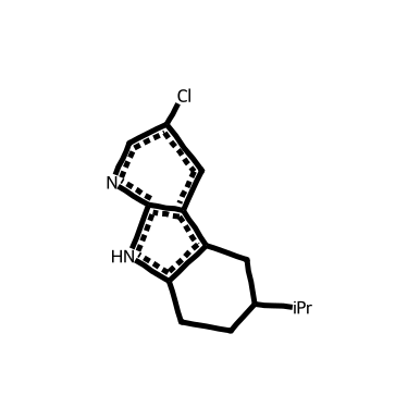 CC(C)C1CCc2[nH]c3ncc(Cl)cc3c2C1